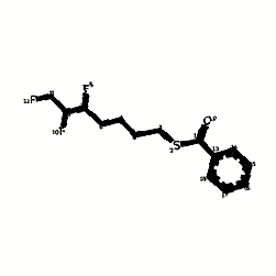 O=C(SCCCCC(F)C(F)CF)c1ccccc1